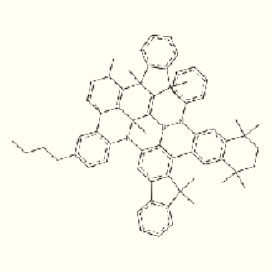 CCCCc1ccc2c(c1)C1(C)C=CC(C)C3=C1C1(C)C(=C4C(C)(C)c5ccccc5C34C)B3c4c(cc5c(c4-c4cc6c(cc4N3c3ccccc3)C(C)(C)CCC6(C)C)C(C)(C)c3ccccc3-5)N21